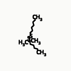 CCCCCCCSSC(C)(C)CCCCC